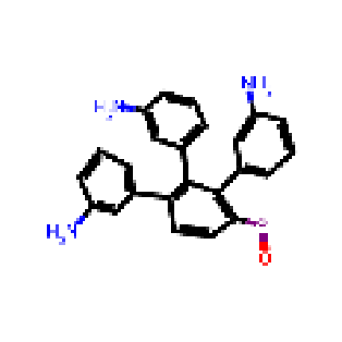 Nc1cccc(-c2ccc(P=O)c(-c3cccc(N)c3)c2-c2cccc(N)c2)c1